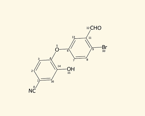 N#Cc1ccc(Oc2ccc(Br)c(C=O)c2)c(O)c1